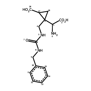 NC(C(=O)O)C1(CNC(=O)NCc2ccccc2)CC1C(=O)O